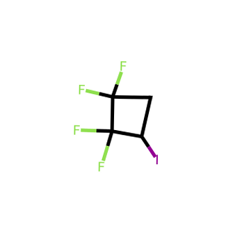 FC1(F)CC(I)C1(F)F